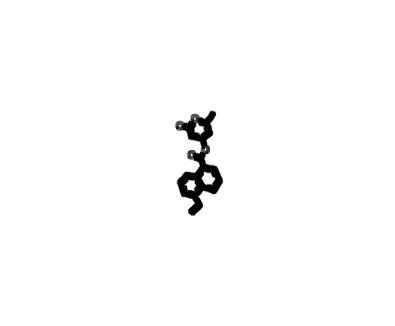 C=Cc1cccc2c(C(=O)Oc3cc(C)oc(=O)c3)cccc12